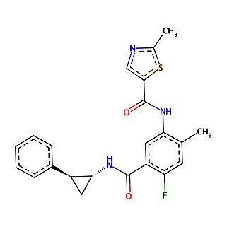 Cc1ncc(C(=O)Nc2cc(C(=O)N[C@@H]3C[C@H]3c3ccccc3)c(F)cc2C)s1